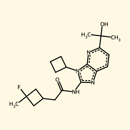 CC1(F)CC(CC(=O)Nc2nc3ccc(C(C)(C)O)nc3n2C2CCC2)C1